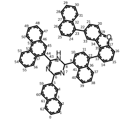 c1ccc2cc(C3=NC(c4ccc(-c5cccc6oc7ccc(-c8cccc9ccccc89)cc7c56)c5ccccc45)NC(c4cc5ccccc5c5ccccc45)=N3)ccc2c1